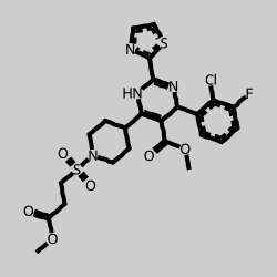 COC(=O)CCS(=O)(=O)N1CCC(C2=C(C(=O)OC)C(c3cccc(F)c3Cl)N=C(c3nccs3)N2)CC1